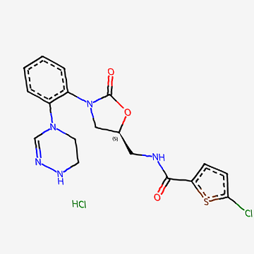 Cl.O=C(NC[C@H]1CN(c2ccccc2N2C=NNCC2)C(=O)O1)c1ccc(Cl)s1